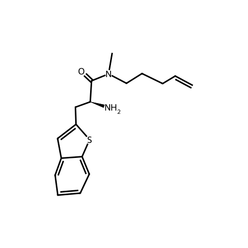 C=CCCCN(C)C(=O)[C@@H](N)Cc1cc2ccccc2s1